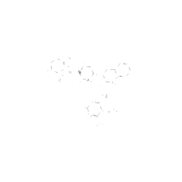 C[C@@H](Nc1ncnc(N)c1C#N)c1nc2cccc(Cl)c2cc1-c1ccccn1.Nc1cccc(Cl)c1C=O